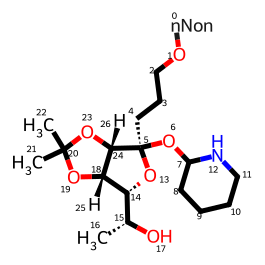 CCCCCCCCCOCCC[C@]1(OC2CCCCN2)O[C@H]([C@@H](C)O)[C@@H]2OC(C)(C)O[C@@H]21